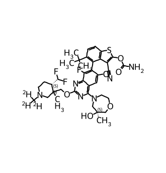 [2H]C([2H])([2H])N1CC[C@H](C(F)F)[C@](C)(COc2nc(N3CCOC[C@@](C)(O)C3)c3cc(Cl)c(-c4c(C(C)(C)C)ccc5sc(OC(N)=O)c(C#N)c45)c(F)c3n2)C1